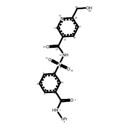 CCCNC(=O)c1cccc(S(=O)(=O)NC(=O)c2ccc(CO)nc2)c1